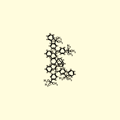 CC(C)(C)c1ccc(N(c2ccc3c(c2)C(C)(C)c2ccccc2-3)c2cc3c(c4ccccc24)Sc2c(cc(N(c4ccc(C(C)(C)C)cc4)c4ccc5c(c4)C(C)(C)c4ccccc4-5)c4ccccc24)C32C3CC4CC(C3)CC2C4)cc1